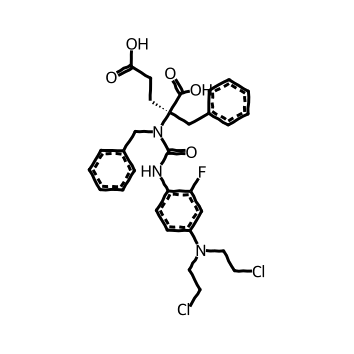 O=C(O)CC[C@@](Cc1ccccc1)(C(=O)O)N(Cc1ccccc1)C(=O)Nc1ccc(N(CCCl)CCCl)cc1F